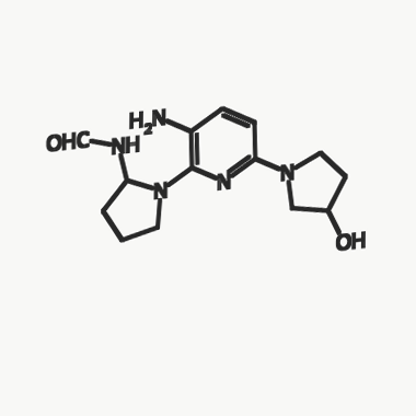 Nc1ccc(N2CCC(O)C2)nc1N1CCCC1NC=O